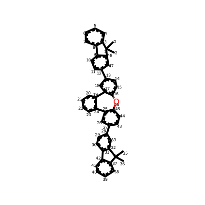 CC1(C)c2ccccc2-c2ccc(-c3ccc4c(c3)-c3ccccc3-c3cc(-c5ccc6c(c5)C(C)(C)c5ccccc5-6)ccc3O4)cc21